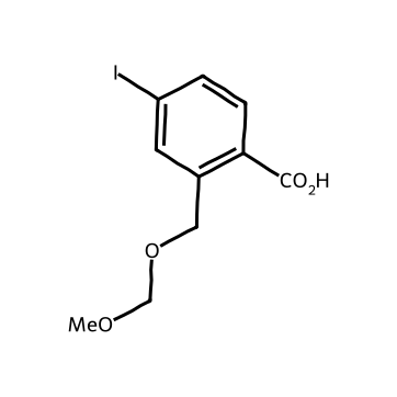 COCOCc1cc(I)ccc1C(=O)O